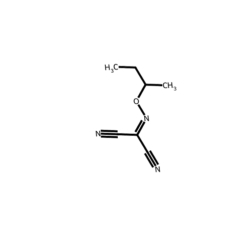 CCC(C)ON=C(C#N)C#N